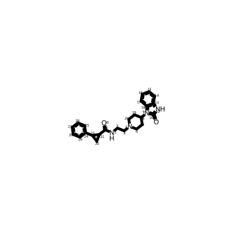 O=C(NCCN1CCC(n2c(=O)[nH]c3ccccc32)CC1)C1CC1c1ccccc1